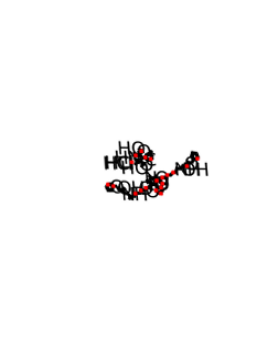 CC1=C(C(=O)O)C(c2cccc(C)c2)C(C(=O)O)=C(C)N1.COc1ccccc1C1C(C(=O)OCCCCCCNCC(O)COc2ccccc2)=C(C)N(C)C(C)=C1C(=O)OCCCCCC(C)NCC(O)COc1ccccc1.Cl.Cl